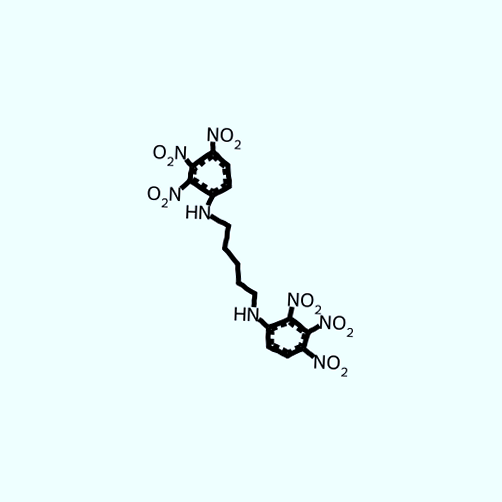 O=[N+]([O-])c1ccc(NCCCCCNc2ccc([N+](=O)[O-])c([N+](=O)[O-])c2[N+](=O)[O-])c([N+](=O)[O-])c1[N+](=O)[O-]